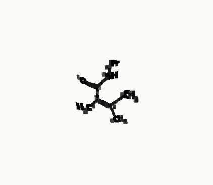 CC(C)=C(C)C(=O)NC(C)C